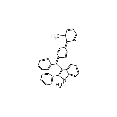 CC1C=CC=[C]C1=c1ccc(=C(c2ccccc2)c2c(-c3ccccc3)n(C)c3ccccc23)cc1